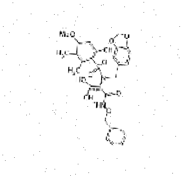 COc1cc(C)c(S(=O)(=O)N(Cc2ccc3c(c2)OCO3)[C@@H](C(=O)NOCc2ccccc2)[C@@H](C)O)c(C)c1C